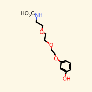 O=C(O)NCCOCCOCCOc1cccc(O)c1